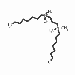 CCCCCCCC[N+](C)(C)CCC[N+](C)(C)CCCCCCCC